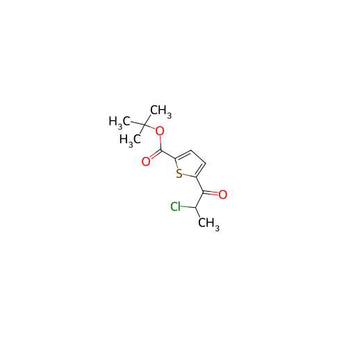 CC(Cl)C(=O)c1ccc(C(=O)OC(C)(C)C)s1